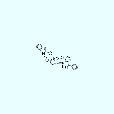 O=C(c1ccccc1)c1ccccc1N[C@@H](Cc1ccc(OCCN(Cc2ccccc2)C(=O)C2CCC2)cc1)C(=O)O